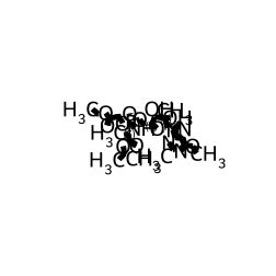 CCOC(=O)COP(=O)(N[C@@H](C)C(=O)OC(C)C)OC[C@H]1O[C@@H](n2cnc3c(OC)nc(C)nc32)[C@@](C)(O)C1O